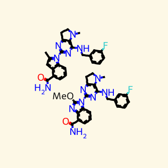 COc1nc2c(C(N)=O)cccc2n1-c1nc2c(c(NCc3cccc(F)c3)n1)N(C)CC2.Cc1cc2c(C(N)=O)cccc2n1-c1nc2c(c(NCc3cccc(F)c3)n1)N(C)CC2